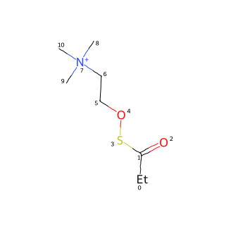 CCC(=O)SOCC[N+](C)(C)C